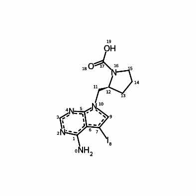 Nc1ncnc2c1c(I)cn2C[C@@H]1CCCN1C(=O)O